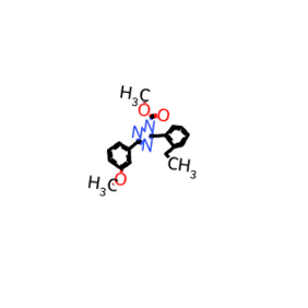 CCc1ccccc1-c1nc(-c2cccc(OC)c2)nn1C(=O)OC